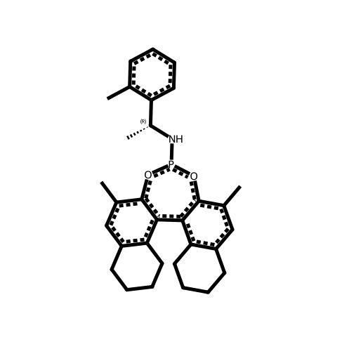 Cc1ccccc1[C@@H](C)Np1oc2c(C)cc3c(c2c2c4c(cc(C)c2o1)CCCC4)CCCC3